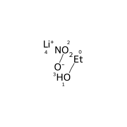 CCO.O=[N+]([O-])[O-].[Li+]